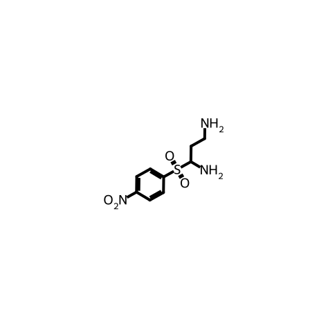 NCCC(N)S(=O)(=O)c1ccc([N+](=O)[O-])cc1